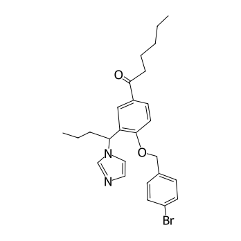 CCCCCC(=O)c1ccc(OCc2ccc(Br)cc2)c(C(CCC)n2ccnc2)c1